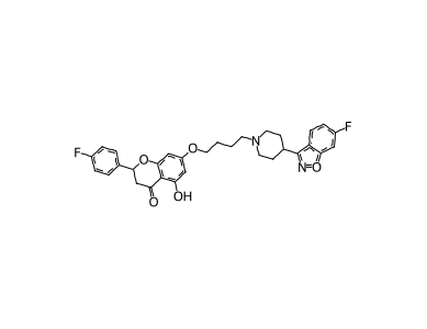 O=C1CC(c2ccc(F)cc2)Oc2cc(OCCCCN3CCC(c4noc5cc(F)ccc45)CC3)cc(O)c21